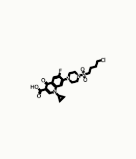 O=C(O)c1cn(C2CC2)c2cc(N3CCN(S(=O)(=O)CCCCCl)CC3)c(F)cc2c1=O